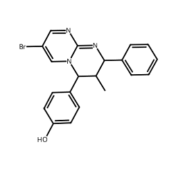 CC1C(c2ccccc2)N=C2N=CC(Br)=CN2C1c1ccc(O)cc1